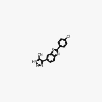 N#Cc1[nH]nnc1-c1ccc2nc(-c3ccc(Cl)cc3)sc2c1